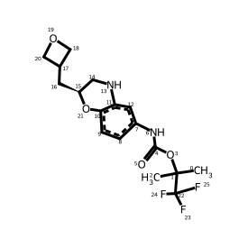 CC(C)(OC(=O)Nc1ccc2c(c1)NC[C@H](CC1COC1)O2)C(F)(F)F